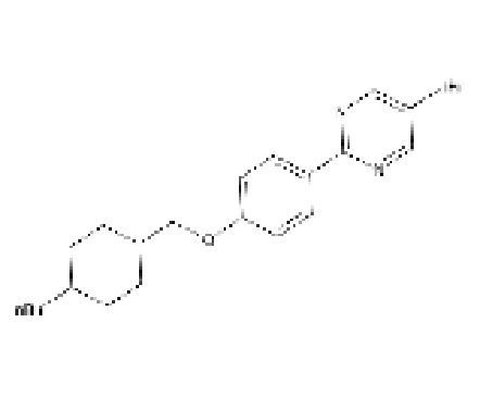 CCCCC1CCC(COc2ccc(-c3ncc(CCC)cn3)cc2)CC1